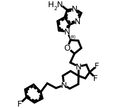 Nc1ncnc2c1ccn2[C@H]1CCC(CN2CC(F)(F)CC23CCN(CCc2ccc(F)cc2)CC3)O1